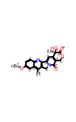 CCCCOc1ccc2nc3c(c(CC)c2c1)Cn1c-3cc2c(c1=O)COC(=O)[C@]2(O)CC